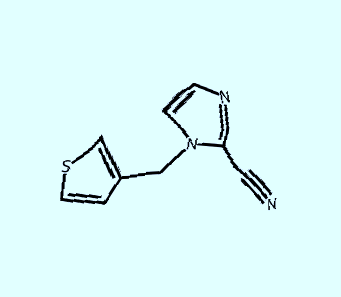 N#Cc1nccn1Cc1ccsc1